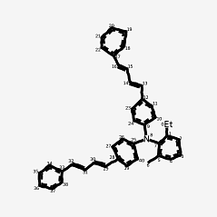 CCc1cccc(C)c1N(c1ccc(/C=C/C=C/c2ccccc2)cc1)c1ccc(/C=C/C=C/c2ccccc2)cc1